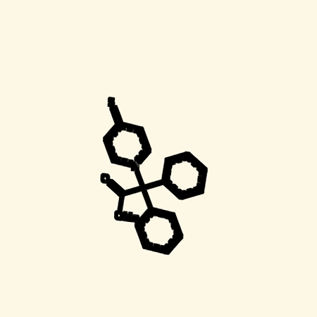 COC(=O)C(c1ccccc1)(c1ccccc1)n1ccc(=S)cc1